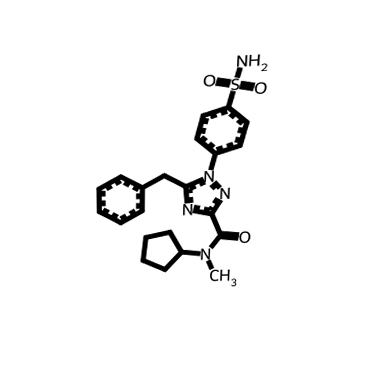 CN(C(=O)c1nc(Cc2ccccc2)n(-c2ccc(S(N)(=O)=O)cc2)n1)C1CCCC1